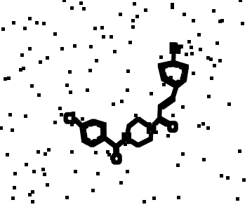 O=C(C=Cc1ccc(Br)cc1)N1CCN(C(=O)c2ccc(Cl)cc2)CC1